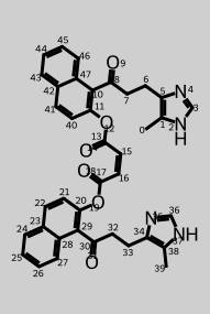 Cc1[nH]cnc1CCC(=O)c1c(OC(=O)/C=C\C(=O)Oc2ccc3ccccc3c2C(=O)CCc2nc[nH]c2C)ccc2ccccc12